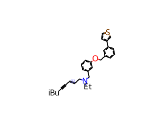 CCC(C)C#C/C=C/CN(CC)Cc1cccc(OCc2cccc(-c3ccsc3)c2)c1